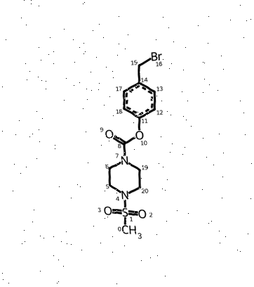 CS(=O)(=O)N1CCN(C(=O)Oc2ccc(CBr)cc2)CC1